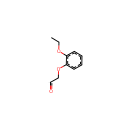 CCOc1ccccc1OC[C]=O